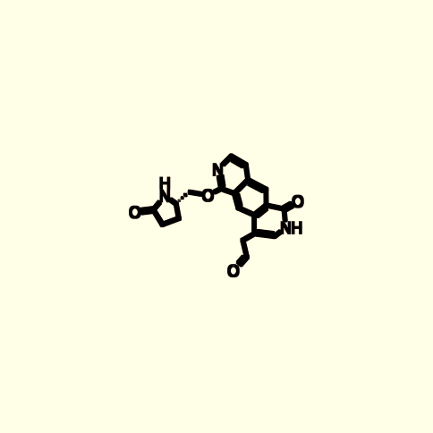 O=CCc1c[nH]c(=O)c2cc3ccnc(OC[C@@H]4CCC(=O)N4)c3cc12